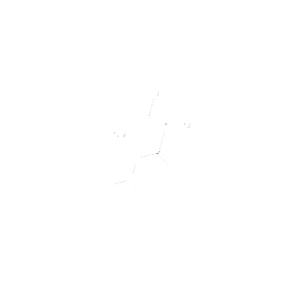 Cl.N[C@@H](CS)C(=O)OS(=O)O.[NaH]